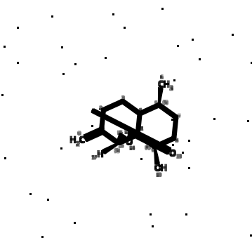 C=C1CCC2[C@@H](C)CC[C@@H](O)C23C(=O)OC[C@@H]13